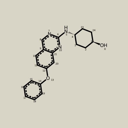 O[C@H]1CC[C@H](Nc2ncc3ccc(Oc4ccccc4)cc3n2)CC1